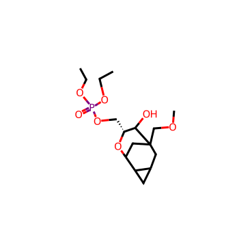 CCOP(=O)(OCC)OC[C@H]1OC2CC(COC)(CC3CC32)C1O